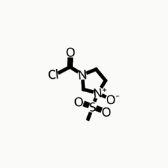 CS(=O)(=O)[N+]1([O-])CCN(C(=O)Cl)C1